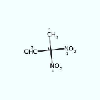 CC(C=O)([N+](=O)[O-])[N+](=O)[O-]